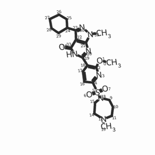 COc1nc(S(=O)(=O)N2CCCN(C)CC2)ccc1-c1nc2c(c(C3CCCCC3)nn2C)c(=O)[nH]1